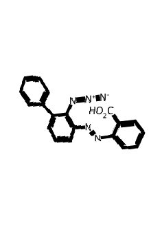 [N-]=[N+]=Nc1c(N=Nc2ccccc2C(=O)O)cccc1-c1ccccc1